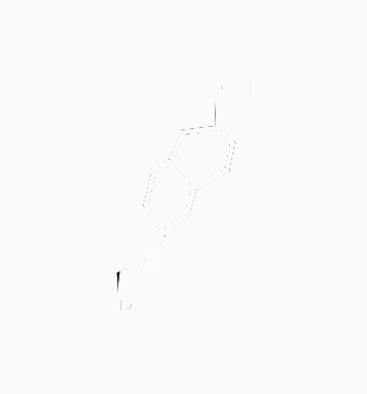 CC[C@H](C)COc1ccc2cc(C(=O)O)ccc2c1